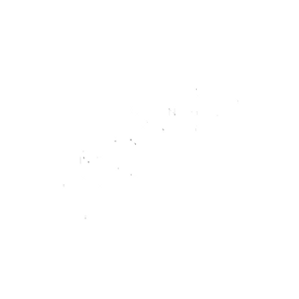 CC(C)(C)OC(=O)NCC(=O)N1CCc2c([nH]c3ccccc23)C1